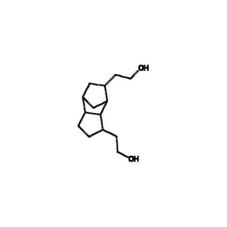 OCCC1CC2CC1C1C(CCO)CCC21